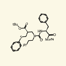 CNC(=O)[C@H](Cc1ccccc1)NC(=O)N(CCC(C)C)CC(CSc1ccccc1)C(=O)OC(C)(C)C